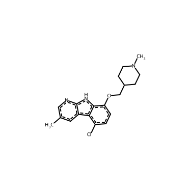 Cc1cnc2[nH]c3c(OCC4CCN(C)CC4)ccc(Cl)c3c2c1